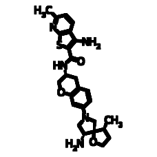 Cc1ccc2c(N)c(C(=O)N[C@H]3COc4cc(N5C[C@@H](N)[C@@]6(C5)OCC[C@@H]6C)ccc4C3)sc2n1